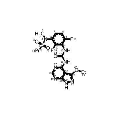 CCCS(=O)(=O)N(C)c1ccc(F)c(NC(=O)Nc2ncnc3[nH]nc(OCC)c23)c1F